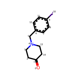 O=C1CCN(Cc2ccc(I)cc2)CC1